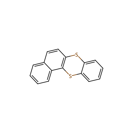 c1ccc2c(c1)Sc1ccc3ccccc3c1S2